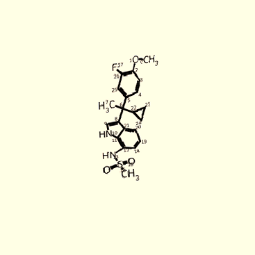 COc1ccc(C(C)(c2c[nH]c3c(NS(C)(=O)=O)cccc23)C2CC2)cc1F